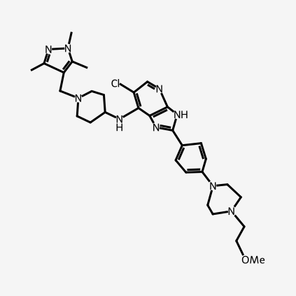 COCCN1CCN(c2ccc(-c3nc4c(NC5CCN(Cc6c(C)nn(C)c6C)CC5)c(Cl)cnc4[nH]3)cc2)CC1